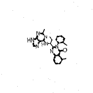 CCC(Nc1nc(C)nc2[nH]cnc12)c1nc2cccc(C)c2c(=O)n1-c1ccccc1C